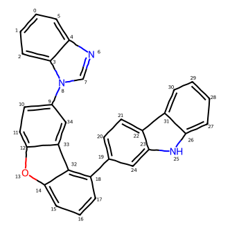 c1ccc2c(c1)ncn2-c1ccc2oc3cccc(-c4ccc5c(c4)[nH]c4ccccc45)c3c2c1